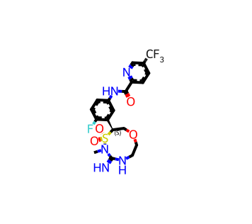 CN1C(=N)NCCOC[C@H](c2cc(NC(=O)c3ccc(C(F)(F)F)cn3)ccc2F)S1(=O)=O